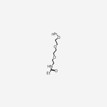 CCCOCCOCCOCCNC(=O)CC